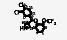 FC(F)(F)Oc1ccccc1OC(c1ccc(Cl)c(Cl)c1)C1CNC1